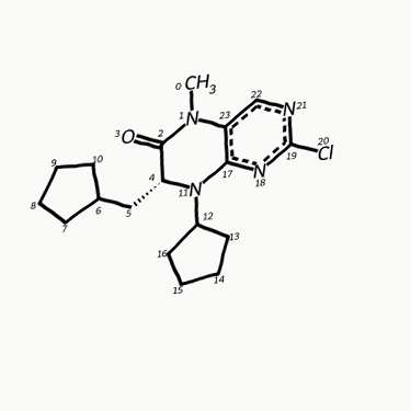 CN1C(=O)[C@@H](CC2CCCC2)N(C2CCCC2)c2nc(Cl)ncc21